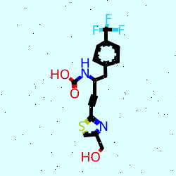 O=C(O)NC(C#Cc1nc(CO)cs1)Cc1ccc(C(F)(F)F)cc1